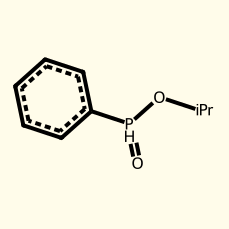 CC(C)O[PH](=O)c1ccccc1